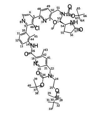 COc1nc(-c2ccnc(-c3cccc(NC(=O)c4ncc(CN(CCO[Si](C)(C)C(C)(C)C)C(=O)OC(C)(C)C)cc4C)c3C)c2Cl)ccc1CN(C[C@@H]1CCC(=O)N1)C(=O)OC(C)(C)C